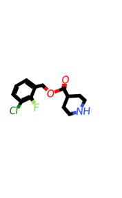 O=C(OCc1cccc(Cl)c1F)C1CCNCC1